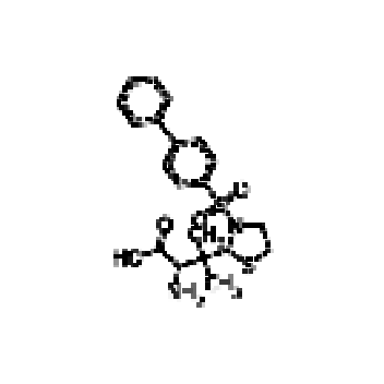 CC(C)(C(N)C(=O)O)C1SCCN1S(=O)(=O)c1ccc(-c2ccccc2)cc1